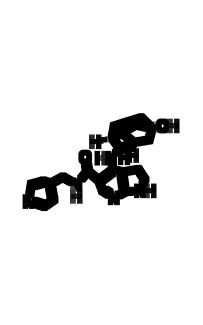 O=C(NCc1ccncc1)c1cnc2c(c1N[C@H]1[C@@H]3CC4C[C@H]1C[C@@](O)(C4)C3)CCN2